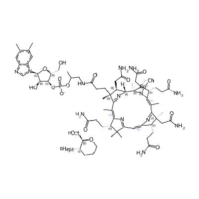 C/C1=C2N=C(/C=C3N=C(/C(C)=C4/[C@@H](CCC(N)=O)[C@](C)(CC(N)=O)[C@](C)([C@@H]5N=C1[C@](C)(CCC(=O)NCC(C)OP(=O)([O-])O[C@H]1[C@@H](O)[C@@H](n6cnc7cc(C)c(C)cc76)O[C@@H]1CO)[C@H]5CC(N)=O)[N]4[Co+][C]#N)[C@@](C)(CC(N)=O)[C@@H]\3CCC(N)=O)C(C)(C)[C@@H]/2CCC(N)=O.CCCCCCCC[C@H]1OCCC[C@@H]1CCCCCCC